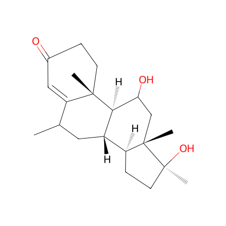 CC1C[C@@H]2[C@H](C(O)C[C@@]3(C)[C@H]2CC[C@]3(C)O)[C@@]2(C)CCC(=O)C=C12